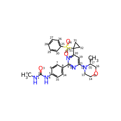 CNC(=O)Nc1ccc(-c2nc(N3CCOC[C@@H]3C)cc(C3(S(=O)(=O)c4ccccc4)CC3)n2)cc1